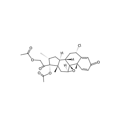 CC(=O)OCC(=O)[C@@]1(OC(C)=O)[C@H](C)C[C@H]2[C@@H]3C[C@H](Cl)C4=CC(=O)C=C[C@]4(C)[C@@]34O[C@H]4C[C@@]21C